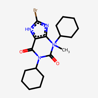 C[N+]1(C2CCCCC2)C(=O)N(C2CCCCC2)C(=O)c2[nH]c(Br)nc21